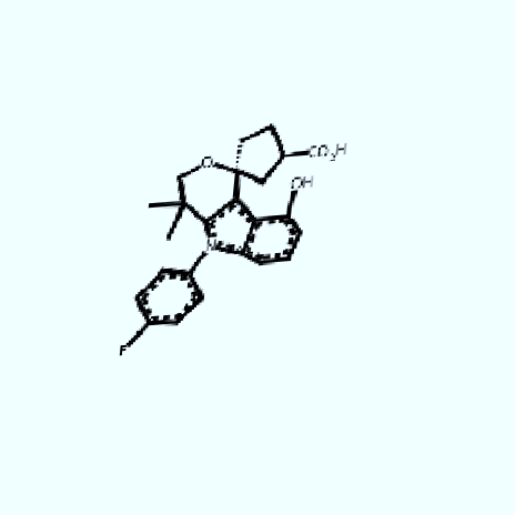 CC1(C)CO[C@]2(CC[C@@H](C(=O)O)C2)c2c1n(-c1ccc(F)cc1)c1cccc(O)c21